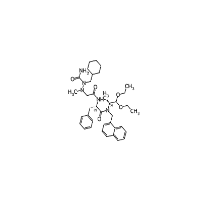 CCOC(OCC)[C@H](C)N(Cc1cccc2ccccc12)C(=O)[C@H](Cc1ccccc1)NC(=O)CN(C)N(CC1CCCCC1)C(N)=O